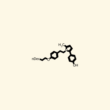 CCCCCCCCCCCCOc1ccc(CCn2c(C)ccc2-c2ccc(O)cc2)cc1